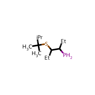 CCC(P)C(CC)SC(C)(C)C(C)C